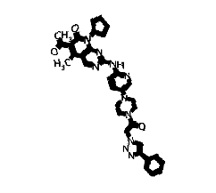 CC(=O)c1c(C)c2cnc(Nc3ccc(N4CCN(C(=O)Cn5cc(-c6ccccc6)nn5)CC4)cn3)nc2n(C2CCCC2)c1=O